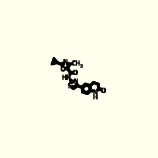 Cc1nc(C2CC2)oc1C(=O)Nc1nc(-c2ccc3c(c2)CCC(=O)N3)cs1